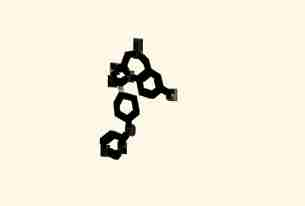 Clc1ccc2c(c1)CNCc1nnc([C@H]3CC[C@H](Oc4ccncn4)CC3)n1-2